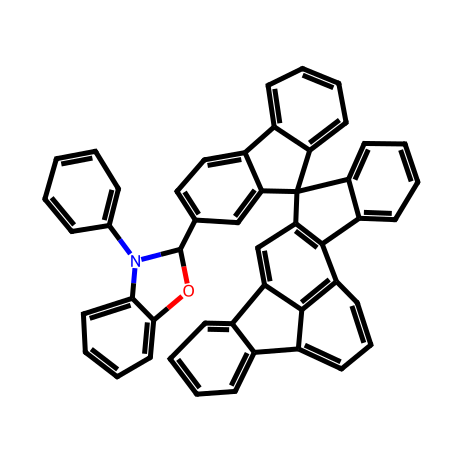 c1ccc(N2c3ccccc3OC2c2ccc3c(c2)C2(c4ccccc4-3)c3ccccc3-c3c2cc2c4c(cccc34)-c3ccccc3-2)cc1